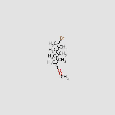 CCOCOCCCC(C)CC(C)CC(C)CC(C)CC(C)CC(C)CC(C)CCCBr